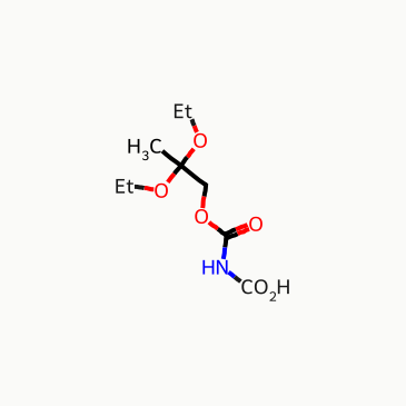 CCOC(C)(COC(=O)NC(=O)O)OCC